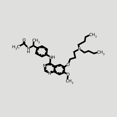 CCCCN(CCCC)CCCOc1cc2c(Nc3ccc(C(C)NC(C)=O)cc3)ncnc2cc1OC